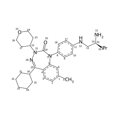 Cc1ccc2c(c1)N(c1ccc(NC[C@@H](N)C(C)C)cc1)C(=O)N(C1CCOCC1)N=C2C1CCCCC1